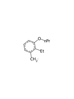 [CH2]c1cccc(OCCC)c1CC